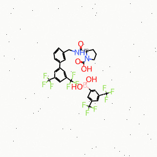 O=C(NCc1cccc(-c2cc(C(F)(F)F)cc(C(F)(F)F)c2)c1)[C@@H]1CCCN1C(=O)O.OB(O)c1cc(C(F)(F)F)cc(C(F)(F)F)c1